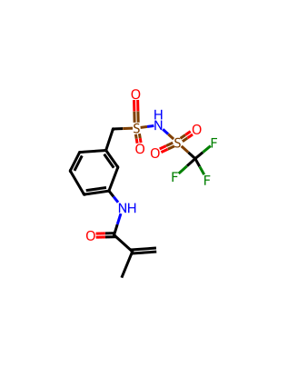 C=C(C)C(=O)Nc1cccc(CS(=O)(=O)NS(=O)(=O)C(F)(F)F)c1